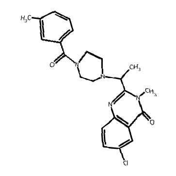 Cc1cccc(C(=O)N2CCN(C(C)c3nc4ccc(Cl)cc4c(=O)n3C)CC2)c1